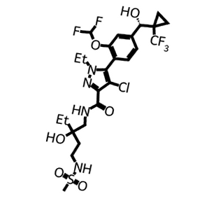 CCn1nc(C(=O)NCC(O)(CC)CCNS(C)(=O)=O)c(Cl)c1-c1ccc([C@H](O)C2(C(F)(F)F)CC2)cc1OC(F)F